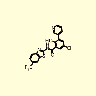 O=C(Nc1nc2ccc(C(F)(F)F)cc2s1)c1cc(Cl)cc(-c2cccnc2)c1O